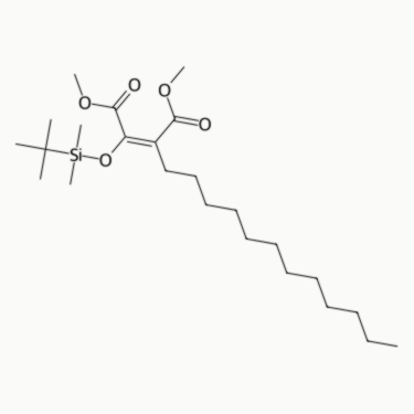 CCCCCCCCCCCCC(C(=O)OC)=C(O[Si](C)(C)C(C)(C)C)C(=O)OC